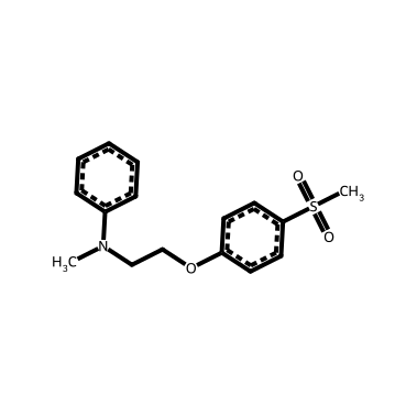 CN(CCOc1ccc(S(C)(=O)=O)cc1)c1ccccc1